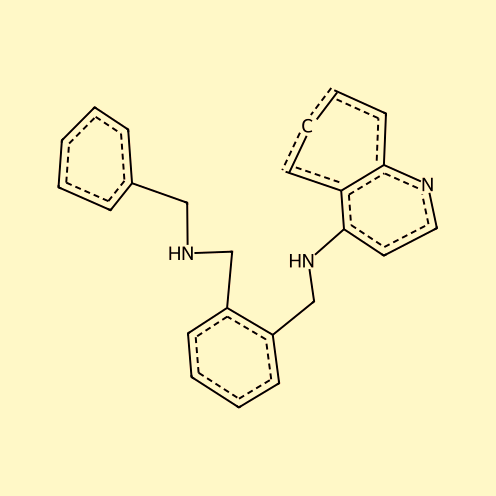 c1ccc(CNCc2ccccc2CNc2ccnc3ccccc23)cc1